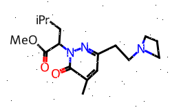 COC(=O)C(CC(C)C)n1nc(CCN2CCC2)cc(C)c1=O